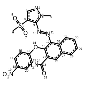 Cn1ncc(S(C)(=O)=O)c1/N=N/c1c(Oc2ccc([N+](=O)[O-])cc2)c(C(N)=O)cc2ccccc12